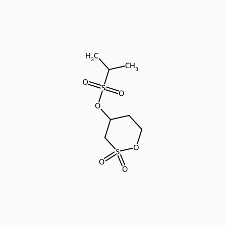 CC(C)S(=O)(=O)OC1CCOS(=O)(=O)C1